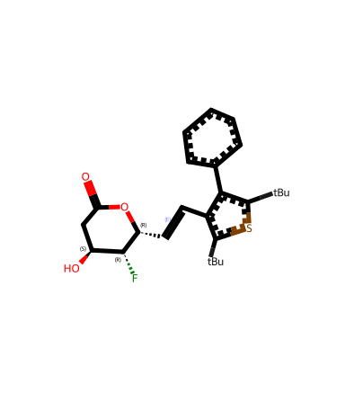 CC(C)(C)c1sc(C(C)(C)C)c(-c2ccccc2)c1/C=C/[C@H]1OC(=O)C[C@H](O)[C@H]1F